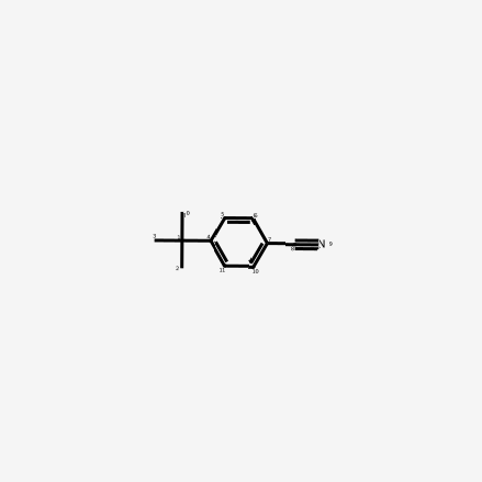 CC(C)(C)c1[c]cc(C#N)cc1